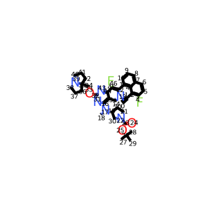 C#Cc1c(F)ccc2cccc(-c3ncc4c(N(C)[C@@H]5CCN(C(=O)OC(C)(C)C)C5)nc(OCC56CCCN5CCC6)nc4c3F)c12